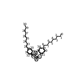 CCCCCCCCCc1ccc(OS(=O)(=O)Oc2ccc(CCCCCCCCC)cc2)cc1